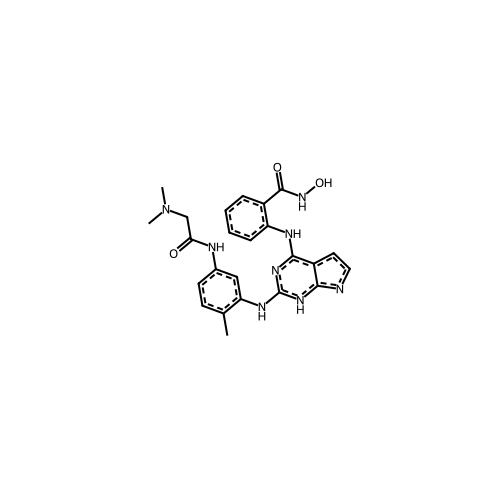 Cc1ccc(NC(=O)CN(C)C)cc1Nc1nc(Nc2ccccc2C(=O)NO)c2ccnc-2[nH]1